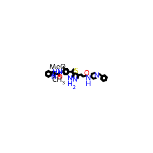 COc1cc(-c2csc3c(C=CC(=O)NC4CCN(Cc5ccccc5)CC4)cnc(N)c23)ccc1NC(=O)c1cc2ccccc2n1C